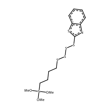 CO[Si](CCCCSSSSc1nc2ccccc2s1)(OC)OC